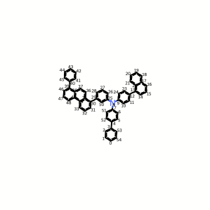 c1ccc(-c2ccc(N(c3ccc(-c4cccc5ccccc45)cc3)c3cccc(-c4cccc5c4ccc4c(-c6ccccc6)cccc45)c3)cc2)cc1